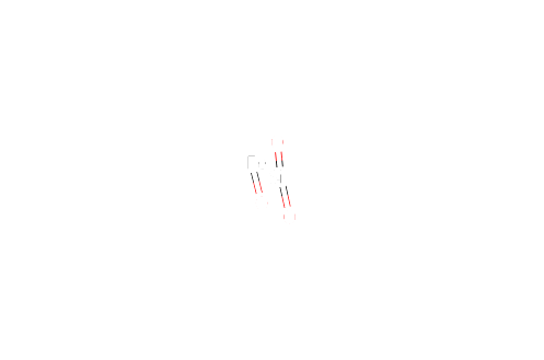 O=[Si]=O.[O]=[Fe]